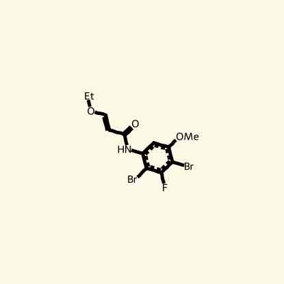 CCOC=CC(=O)Nc1cc(OC)c(Br)c(F)c1Br